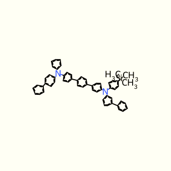 C[Si](C)(C)c1ccc(N(c2ccc(-c3ccc(-c4ccc(N(c5ccccc5)c5ccc(-c6ccccc6)cc5)cc4)cc3)cc2)c2cccc(-c3ccccc3)c2)cc1